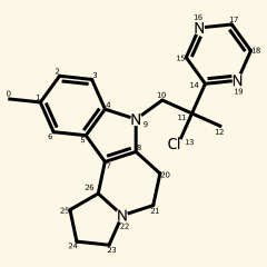 Cc1ccc2c(c1)c1c(n2CC(C)(Cl)c2cnccn2)CCN2CCCC12